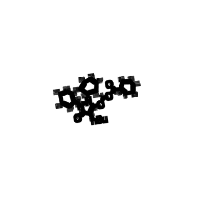 CCCCc1c(OCOC(=O)c2ccccc2)n(-c2ccccc2)n(-c2ccccc2)c1=O